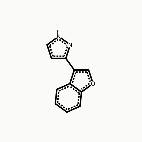 c1ccc2c(-c3cc[nH]n3)coc2c1